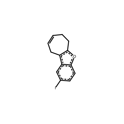 Ic1ccc2oc3c(c2c1)CC=CCC3